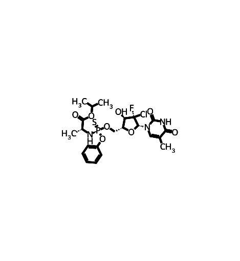 Cc1cn([C@@H]2O[C@H](CO[P@](=S)(N[C@H](C)C(=O)OC(C)C)Oc3ccccc3)[C@@H](O)[C@@]2(F)Cl)c(=O)[nH]c1=O